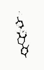 COCc1ccc(-n2ncc3c(c2=O)CCC(c2ccc(C)cc2C)C3)nc1